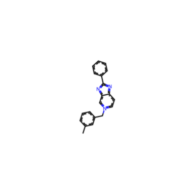 Cc1cccc(Cn2ccc3nc(-c4ccccc4)nc-3c2)c1